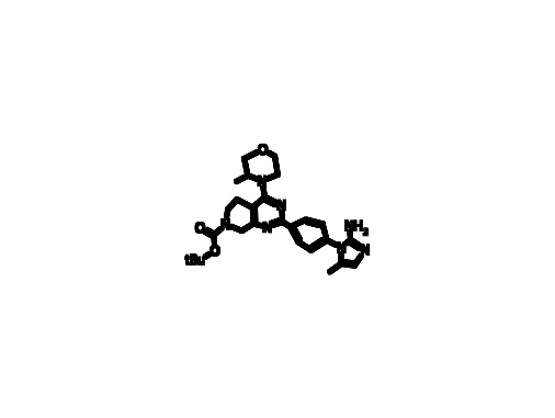 Cc1cnc(N)n1-c1ccc(-c2nc3c(c(N4CCOCC4C)n2)CCN(C(=O)OC(C)(C)C)C3)cc1